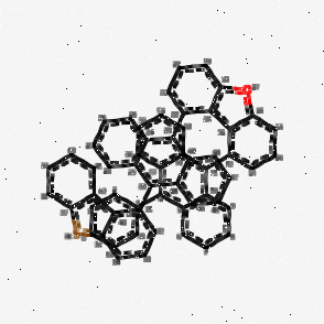 c1ccc(-c2c3ccccc3c(-c3cccc4oc5cccc(-c6c7ccccc7c(-c7cccc8sc9ccccc9c78)c7ccccc67)c5c34)c3ccccc23)cc1